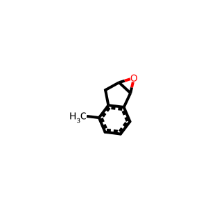 Cc1cccc2c1CC1OC21